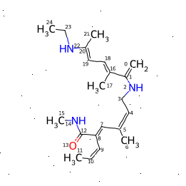 C=C(NC\C=C(C)/C=C(\C=C/C)C(=O)NC)/C(C)=C/C=C(\C)NCC